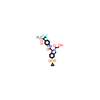 CC(O)(c1ccc(NC(=O)C2c3ccc(S(=O)(=O)C4CC4)cc3CN2C(=O)CO)cc1)C(F)(F)F